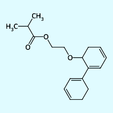 CC(C)C(=O)OCCOC1CC=CC=C1C1=CC=CCC1